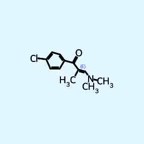 C/C(=C\N(C)C)C(=O)c1ccc(Cl)cc1